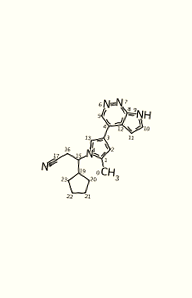 Cc1cc(-c2cnnc3[nH]ccc23)cn1C(CC#N)C1CCCC1